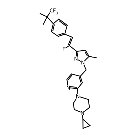 Cc1cc(C(F)=Cc2ccc(C(C)(C)C(F)(F)F)cc2)nn1Cc1ccnc(N2CCN(C3CC3)CC2)c1